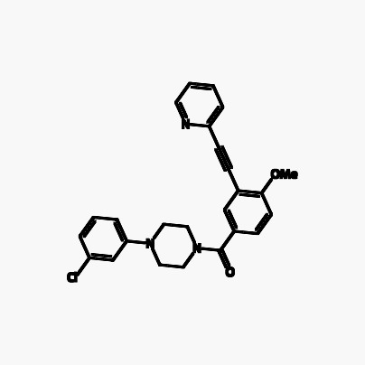 COc1ccc(C(=O)N2CCN(c3cccc(Cl)c3)CC2)cc1C#Cc1ccccn1